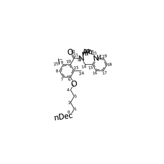 CCCCCCCCCCCCCCOc1cccc(C(=O)N(Cc2cccc[n+]2CCC)C(C)=O)c1C.[I-]